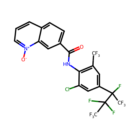 O=C(Nc1c(Cl)cc(C(F)(C(F)(F)F)C(F)(F)C(F)(F)F)cc1C(F)(F)F)c1ccc2ccc[n+]([O-])c2c1